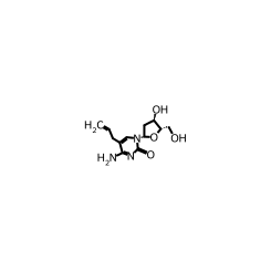 C=CCc1cn([C@@H]2C[C@@H](O)[C@H](CO)O2)c(=O)nc1N